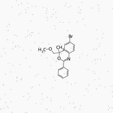 COCC1(C)OC(c2ccccc2)=Nc2ccc(Br)cc21